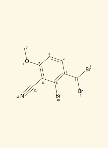 COc1ccc(C(Br)Br)c(Br)c1C#N